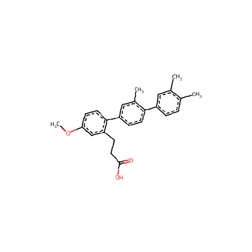 COc1ccc(-c2ccc(-c3ccc(C)c(C)c3)c(C)c2)c(CCC(=O)O)c1